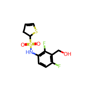 O=S(=O)(Nc1ccc(F)c(CO)c1F)C1CC=CS1